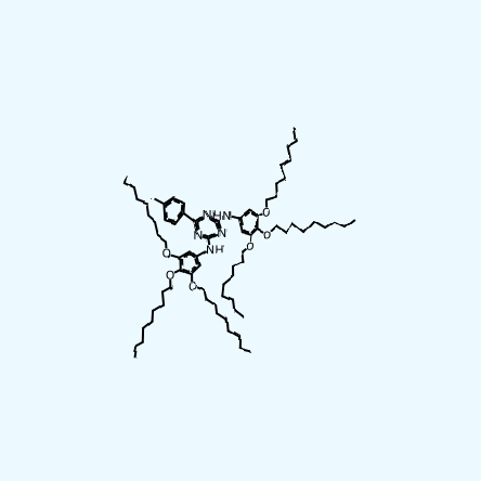 [CH2]c1ccc(-c2nc(Nc3cc(OCCCCCCCCC)c(OCCCCCCCCC)c(OCCCCCCCCC)c3)nc(Nc3cc(OCCCCCCCCC)c(OCCCCCCCCC)c(OCCCCCCCCC)c3)n2)cc1